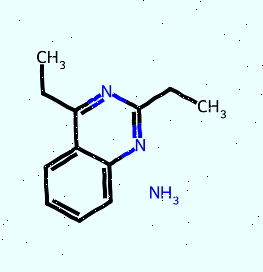 CCc1nc(CC)c2ccccc2n1.N